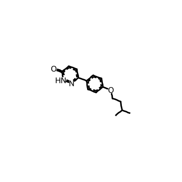 CC(C)CCOc1ccc(-c2ccc(=O)[nH]n2)cc1